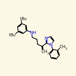 C=C(CCCNc1cc(C(C)(C)C)cc(C(C)(C)C)c1)c1nccn1-c1ccccc1C